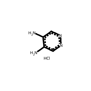 Cl.Nc1cnncc1N